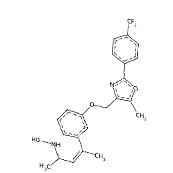 C/C(=C/C(C)NO)c1cccc(OCc2nc(-c3ccc(C(F)(F)F)cc3)oc2C)c1